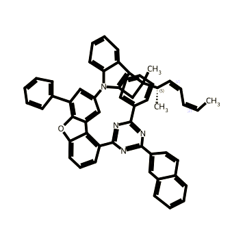 C/C=C\C=C/[C@H](C)C1(C)Cc2c1c1ccccc1n2-c1cc(-c2ccccc2)c2oc3cccc(-c4nc(-c5ccccc5)nc(-c5ccc6ccccc6c5)n4)c3c2c1